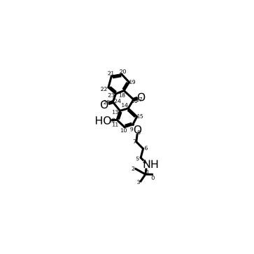 CC(C)(C)NCCCOc1cc(O)c2c(c1)C(=O)c1ccccc1C2=O